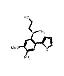 COc1cc(N(C)CCO)c(-c2ccn[nH]2)cc1[N+](=O)[O-]